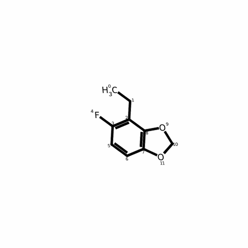 CCc1c(F)ccc2c1OCO2